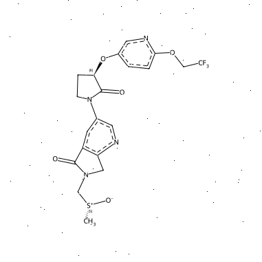 C[S@@+]([O-])CN1Cc2ncc(N3CC[C@@H](Oc4ccc(OCC(F)(F)F)nc4)C3=O)cc2C1=O